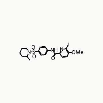 COc1ccc(C(=O)Nc2ccc(S(=O)(=O)N3CCCCC3C)cc2)nc1I